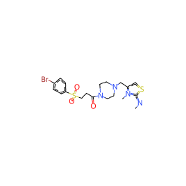 CN=c1scc(CN2CCN(C(=O)CCS(=O)(=O)c3ccc(Br)cc3)CC2)n1C